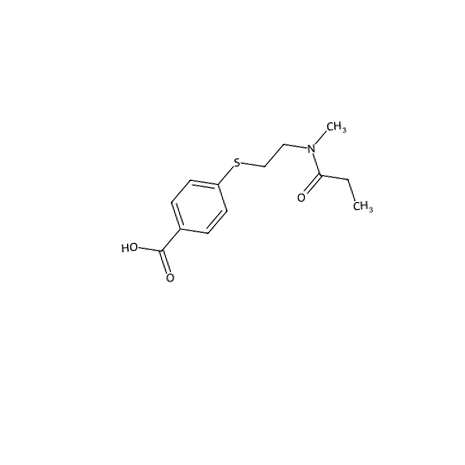 CCC(=O)N(C)CCSc1ccc(C(=O)O)cc1